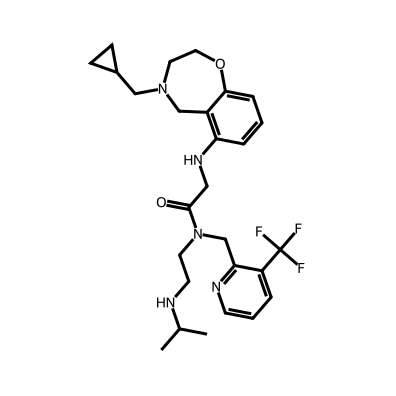 CC(C)NCCN(Cc1ncccc1C(F)(F)F)C(=O)CNc1cccc2c1CN(CC1CC1)CCO2